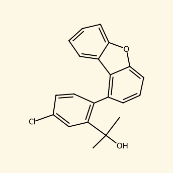 CC(C)(O)c1cc(Cl)ccc1-c1cccc2oc3ccccc3c12